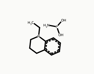 CCN1CCCc2ccccc21.NP(O)O